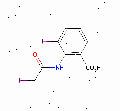 O=C(CI)Nc1c(I)cccc1C(=O)O